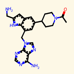 CC(=O)N1CCC(c2cc(Cn3cnc4c(N)ncnc43)c3[nH]c(CN)cc3c2)CC1